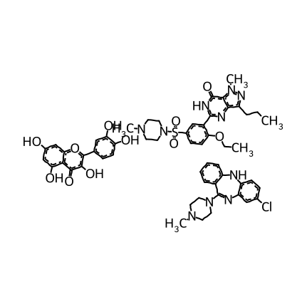 CCCc1nn(C)c2c(=O)[nH]c(-c3cc(S(=O)(=O)N4CCN(C)CC4)ccc3OCC)nc12.CN1CCN(C2=Nc3cc(Cl)ccc3Nc3ccccc32)CC1.O=c1c(O)c(-c2ccc(O)c(O)c2)oc2cc(O)cc(O)c12